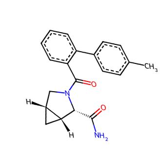 Cc1ccc(-c2ccccc2C(=O)N2C[C@H]3C[C@H]3[C@H]2C(N)=O)cc1